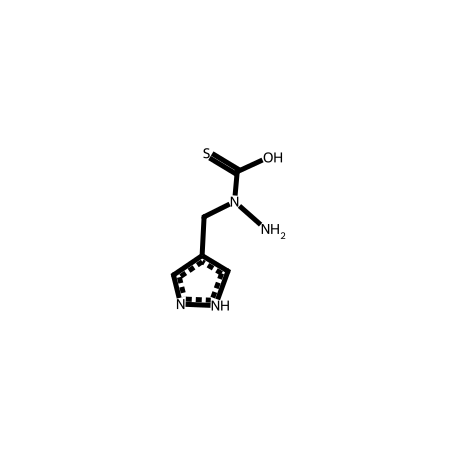 NN(Cc1cn[nH]c1)C(O)=S